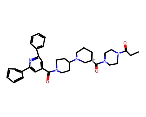 CCC(=O)N1CCN(C(=O)[C@@H]2CCCN(C3CCN(C(=O)c4cc(-c5ccccc5)nc(-c5ccccc5)c4)CC3)C2)CC1